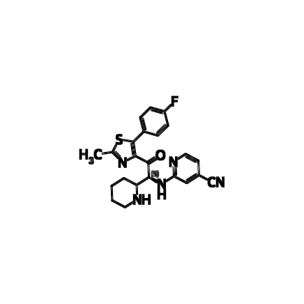 Cc1nc(C(=O)[C@@H](Nc2cc(C#N)ccn2)C2CCCCN2)c(-c2ccc(F)cc2)s1